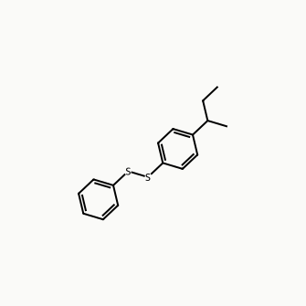 CCC(C)c1ccc(SSc2ccccc2)cc1